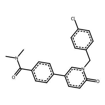 CN(C)C(=O)c1ccc(-c2ccc(=O)n(Cc3ccc(Cl)cc3)c2)cc1